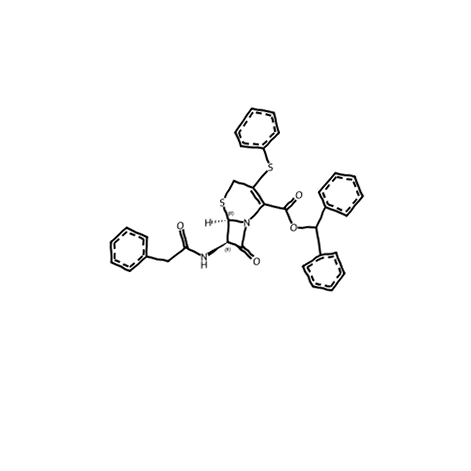 O=C(Cc1ccccc1)N[C@@H]1C(=O)N2C(C(=O)OC(c3ccccc3)c3ccccc3)=C(Sc3ccccc3)CS[C@H]12